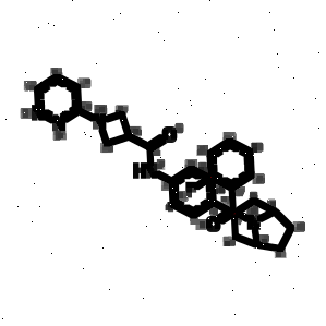 O=C(Nc1ccc(C2CC3CCC(C2)N3C(=O)c2ccccc2F)cc1)C1CN(c2cccnn2)C1